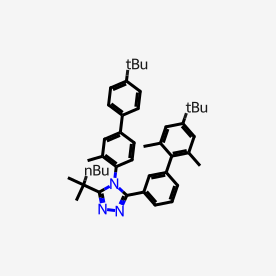 CCCCC(C)(C)c1nnc(-c2cccc(-c3c(C)cc(C(C)(C)C)cc3C)c2)n1-c1ccc(-c2ccc(C(C)(C)C)cc2)cc1C